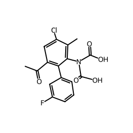 CC(=O)c1cc(Cl)c(C)c(N(C(=O)O)C(=O)O)c1-c1cccc(F)c1